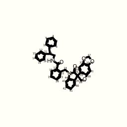 O=C(NCC(c1ccccc1)c1ccccc1)c1ccccc1CN1C(=O)C2(COc3cc4c(cc32)OCO4)c2ccccc21